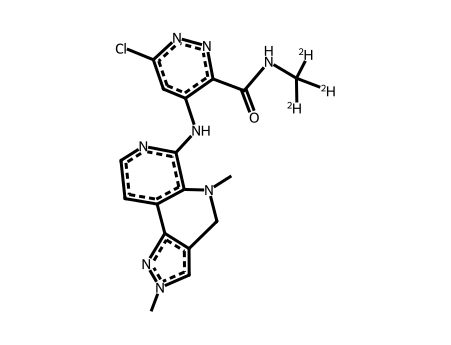 [2H]C([2H])([2H])NC(=O)c1nnc(Cl)cc1Nc1nccc2c1N(C)Cc1cn(C)nc1-2